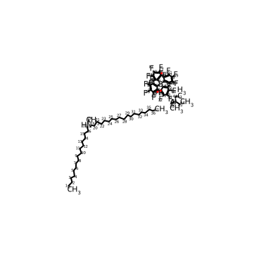 CCCCCCCCCCCCCCCCCC[NH+](C)CCCCCCCCCCCCCCCCCC.C[CH2][Al]([CH2]C)[CH2]C.Fc1c(F)c(F)c([B-](c2c(F)c(F)c(F)c(F)c2F)(c2c(F)c(F)c(F)c(F)c2F)c2c(F)c(F)c(F)c(F)c2F)c(F)c1F